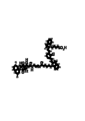 CCC(C)(C)C(=O)O[C@H]1C[C@@H](C)C=C2C=C[C@H](C)[C@H](CC[C@@H](O)C[C@@H](O)CC(=O)NCCCNC(=O)CCCCCN3/C(=C/C=C4\CCCC(/C=C/C5=[N+](CCCCS(=O)(=O)O)c6ccccc6C5(C)C)=C4Cl)C(C)(C)c4ccccc43)[C@H]21